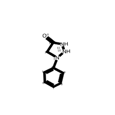 O=C1CN(c2ccccc2)NN1